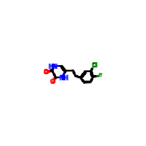 O=c1[nH]cc(CCc2ccc(F)c(Cl)c2)[nH]c1=O